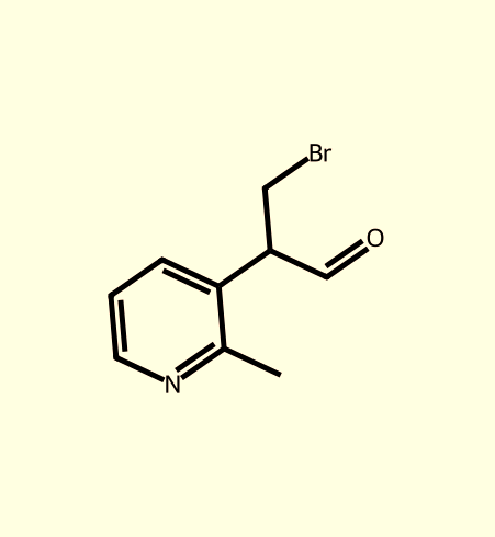 Cc1ncccc1C(C=O)CBr